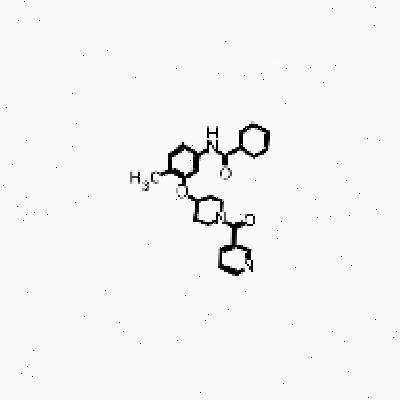 Cc1ccc(NC(=O)C2CC=CCC2)cc1OC1CCN(C(=O)c2cccnc2)CC1